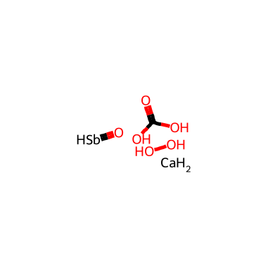 O=C(O)O.OO.[CaH2].[O]=[SbH]